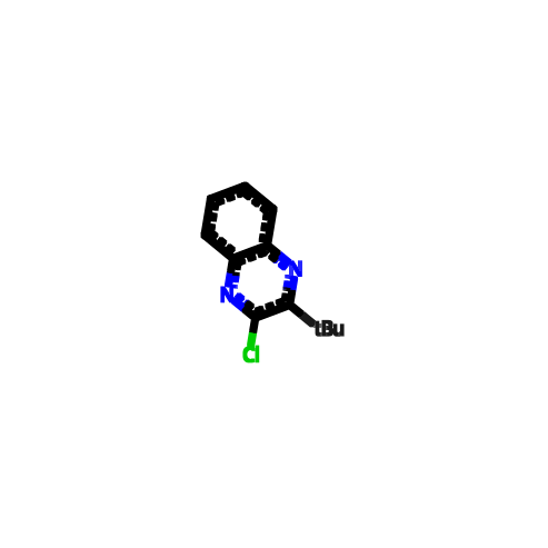 CC(C)(C)c1nc2ccccc2nc1Cl